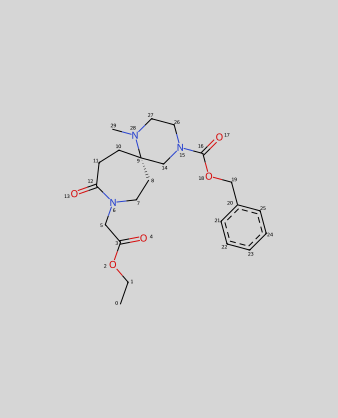 CCOC(=O)CN1CC[C@@]2(CCC1=O)CN(C(=O)OCc1ccccc1)CCN2C